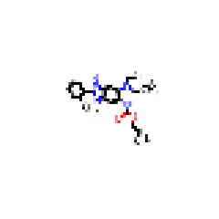 C=CCOC(=O)Nc1cc2nc(-c3ccccc3C)[nH]c2cc1N(CC)CC